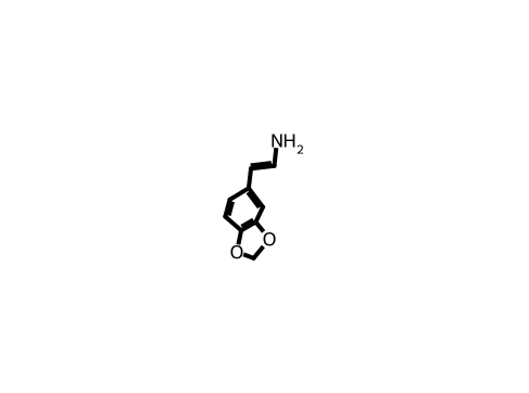 NC=Cc1ccc2c(c1)OCO2